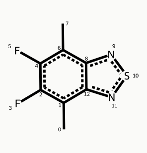 Cc1c(F)c(F)c(C)c2nsnc12